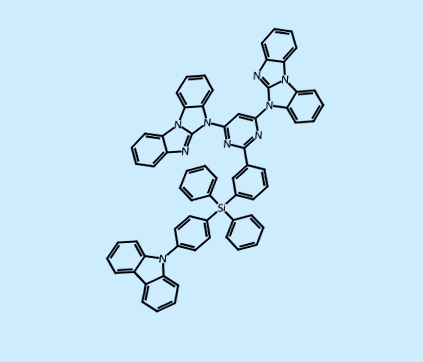 c1ccc([Si](c2ccccc2)(c2ccc(-n3c4ccccc4c4ccccc43)cc2)c2cccc(-c3nc(-n4c5ccccc5n5c6ccccc6nc45)cc(-n4c5ccccc5n5c6ccccc6nc45)n3)c2)cc1